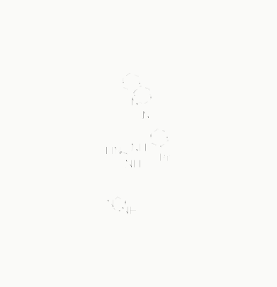 N=C(NCCCc1c[nH]cn1)NCCCN(Cc1ccc(Br)cc1)c1ccc2ccccc2n1